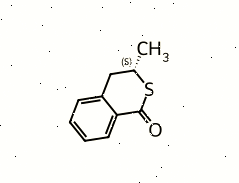 C[C@H]1Cc2ccccc2C(=O)S1